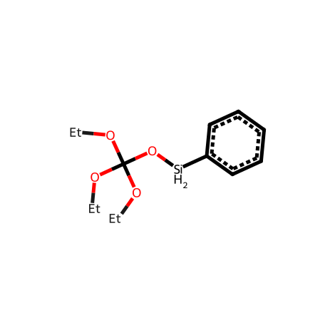 CCOC(OCC)(OCC)O[SiH2]c1ccccc1